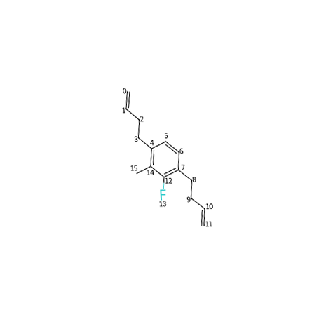 C=CCCc1ccc(CCC=C)c(F)c1C